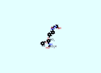 Cc1c(COc2cc(OCc3cccc(C#N)c3)c(CN[C@H](CO)C(=O)O)cc2[N+](=O)[O-])cccc1-c1cccc(-c2noc(CN3CC[C@@H](O)C3)n2)c1C